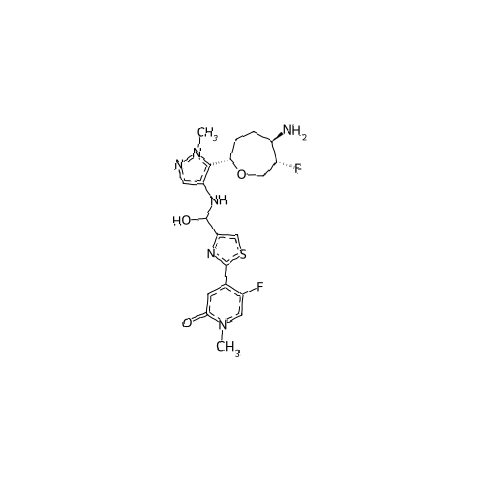 Cn1ncc(NC(O)c2csc(-c3cc(=O)n(C)cc3F)n2)c1[C@@H]1CC[C@@H](N)[C@H](F)CO1